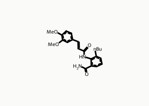 CCCCc1cccc(C(N)=O)c1NC(=O)C=Cc1ccc(OC)c(OC)c1